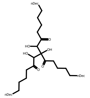 CCCCCCCCCCCCCCC(=O)C(O)C(O)(C(=O)CCCCCCCCCCCCCC)C(O)C(=O)CCCCCCCCCCCCCC